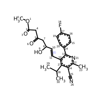 COC(=O)CC(=O)CC(O)/C=C/c1c(-c2ccc(F)cc2)nc(C)c(C#N)c1C(C)C